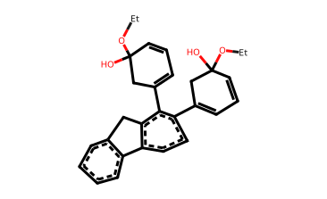 CCOC1(O)C=CC=C(c2ccc3c(c2C2=CC=CC(O)(OCC)C2)Cc2ccccc2-3)C1